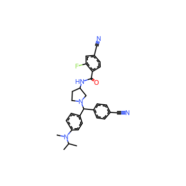 CC(C)N(C)c1ccc(C(c2ccc(C#N)cc2)N2CCC(NC(=O)c3ccc(C#N)cc3F)C2)cc1